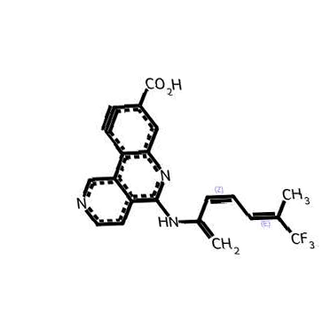 C=C(/C=C\C=C(/C)C(F)(F)F)Nc1nc2cc(C(=O)O)c#cc2c2cnccc12